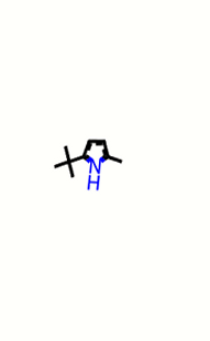 Cc1ccc(C(C)(C)C)[nH]1